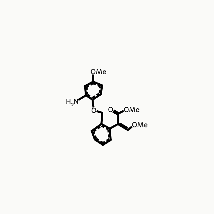 COC=C(C(=O)OC)c1ccccc1COc1ccc(OC)cc1N